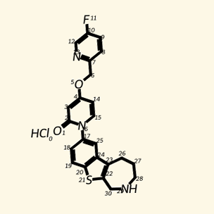 Cl.O=c1cc(OCc2ccc(F)cn2)ccn1-c1ccc2sc3c(c2c1)CCCNC3